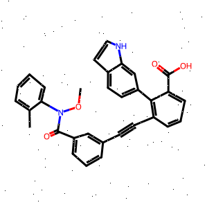 CON(C(=O)c1cccc(C#Cc2cccc(C(=O)O)c2-c2ccc3cc[nH]c3c2)c1)c1ccccc1C